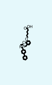 Cc1cnc(-c2ccc(-c3ccccc3)cc2)n1Cc1cccc(OCCCCCC(=O)O)c1